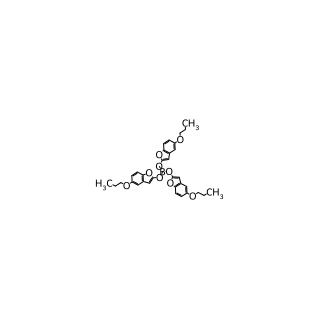 CCCOc1ccc2oc(OB(Oc3cc4cc(OCCC)ccc4o3)Oc3cc4cc(OCCC)ccc4o3)cc2c1